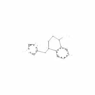 CC1CCC(Cc2c[nH]cn2)c2ccccc21